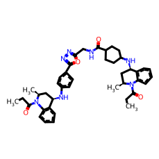 CCC(=O)N1c2ccccc2[C@H](Nc2ccc(-c3nnc(CNC(=O)C4CCC(N[C@@H]5C[C@H](C)N(C(=O)CC)c6ccccc65)CC4)o3)cc2)C[C@@H]1C